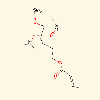 CC=CC(=O)OCCCC(CO[SiH3])(O[SiH](C)C)O[SiH](C)C